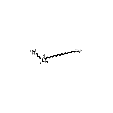 CCC(=O)NCCCC[C@H](NC(=O)CCCCCCCCCCCCCCCCC(=O)O)C(N)=O